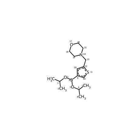 CC(C)OB(OC(C)C)c1csc(CN2CCOCC2)c1